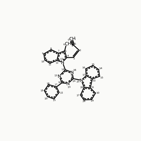 C#C/C=C\c1c(C)c2ccccc2n1-c1nc(-c2ccccc2)nc(-n2c3ccccc3c3ccccc32)n1